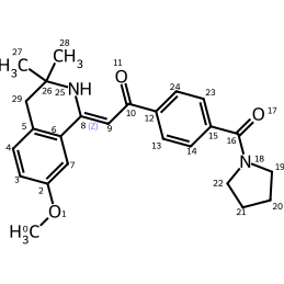 COc1ccc2c(c1)/C(=C/C(=O)c1ccc(C(=O)N3CCCC3)cc1)NC(C)(C)C2